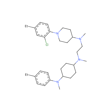 CCc1ccc(N(C)C2CCC(N(C)CCN(C)C3CCN(c4ccc(CC)cc4Cl)CC3)CC2)cc1